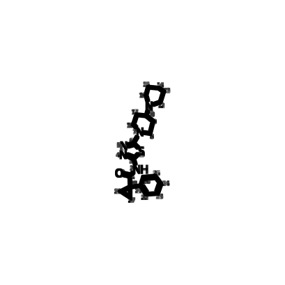 O=C(Nc1nnc(N2CCC(N3CCCCC3)CC2)s1)C1(c2ccccc2)CC1